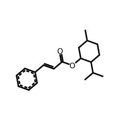 CC1CCC(C(C)C)C(OC(=O)C=Cc2ccccc2)C1